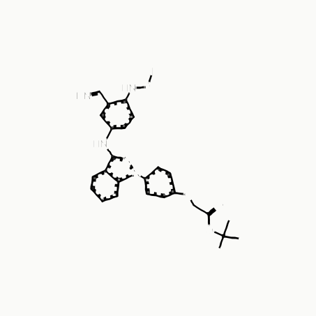 CC(C)(C)OC(=O)COc1ccc(-n2nc(Nc3ccc(NPI)c(C=N)c3)c3ccccc32)cc1